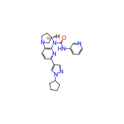 O=C(Nc1cccnc1)N1c2nc(-c3cnn(C4CCCC4)c3)ccc2N2CC[C@H]1C2